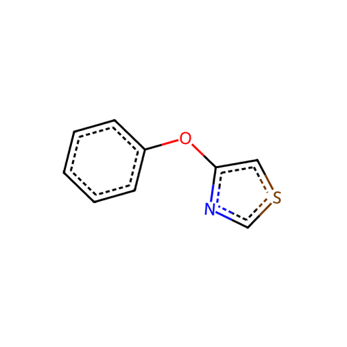 c1ccc(Oc2cscn2)cc1